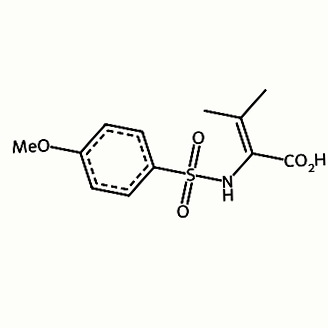 COc1ccc(S(=O)(=O)NC(C(=O)O)=C(C)C)cc1